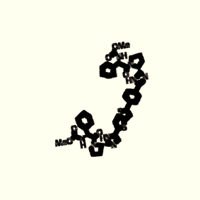 COC(=O)N[C@@H](C(=O)N1CCC[C@H]1c1ncc(-c2ccc(-c3cc4sc(-c5cnc([C@@H]6CCCN6C(=O)[C@H](NC(=O)OC)c6ccccc6)[nH]5)cc4s3)cc2)[nH]1)c1ccccc1